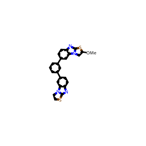 COc1cn2c(nc3ccc(-c4cccc(-c5ccc6nc7sccn7c6c5)c4)cc32)s1